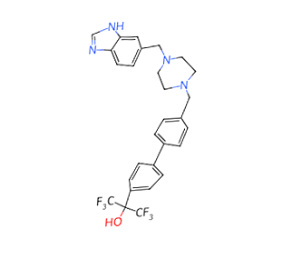 OC(c1ccc(-c2ccc(CN3CCN(Cc4ccc5nc[nH]c5c4)CC3)cc2)cc1)(C(F)(F)F)C(F)(F)F